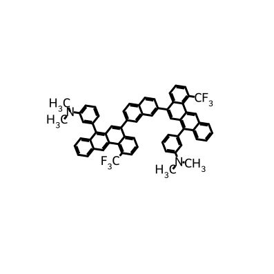 CN(C)c1cccc(-c2c3ccccc3cc3c2cc(-c2ccc4ccc(-c5cc6c(-c7cccc(N(C)C)c7)c7ccccc7cc6c6c(C(F)(F)F)cccc56)cc4c2)c2cccc(C(F)(F)F)c23)c1